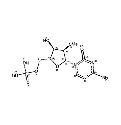 CO[C@@H]1[C@H](O)[C@@H](COP(=O)(O)O)O[C@H]1n1ccc(N)nc1=O